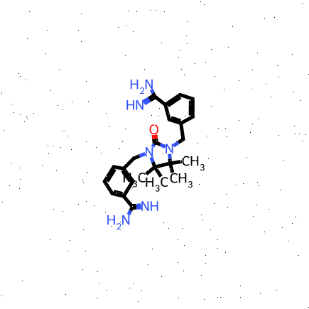 CC1(C)N(Cc2cccc(C(=N)N)c2)C(=O)N(Cc2cccc(C(=N)N)c2)C1(C)C